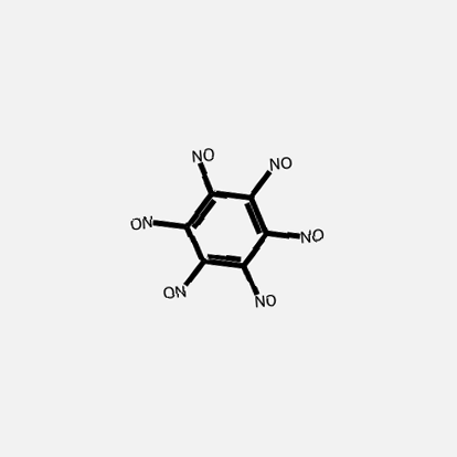 O=Nc1c(N=O)c(N=O)c(N=O)c(N=O)c1N=O